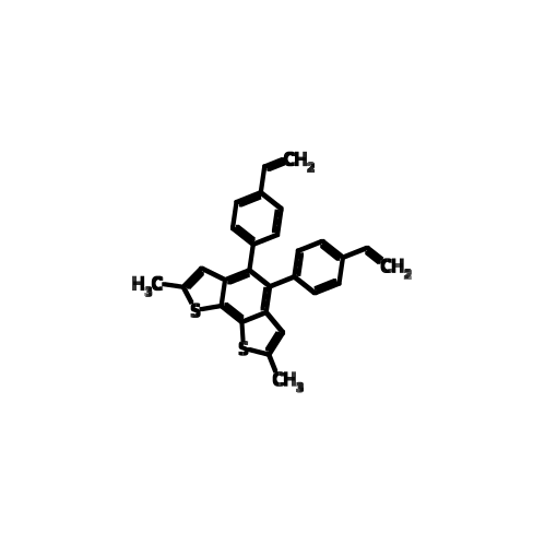 C=Cc1ccc(-c2c(-c3ccc(C=C)cc3)c3cc(C)sc3c3sc(C)cc23)cc1